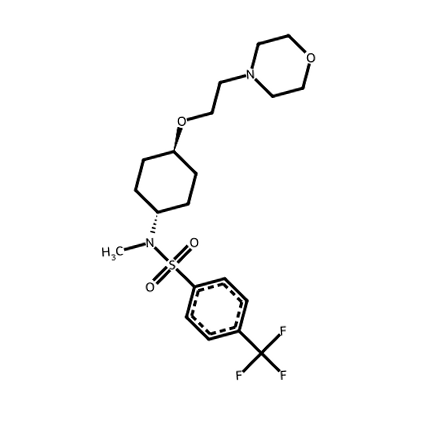 CN([C@H]1CC[C@H](OCCN2CCOCC2)CC1)S(=O)(=O)c1ccc(C(F)(F)F)cc1